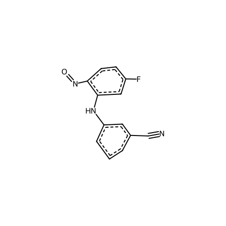 N#Cc1cccc(Nc2cc(F)ccc2N=O)c1